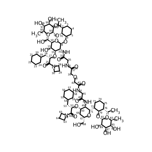 CC[C@H]1CCC[C@@H](O[C@@H]2O[C@H](CO)[C@H](O)[C@H](O[C@@H](CC3CCCCC3)C(=O)N3CCC3)[C@H]2NC(=O)CNC(=O)COCC(=O)NCC(=O)N[C@@H]2[C@@H](O[C@@H](CC3CCCCC3)C(=O)N3CCC3)C[C@@H](CO)O[C@H]2C2CCC[C@H](CC)[C@H]2O[C@@H]2O[C@@H](C)[C@@H](O)[C@@H](O)[C@@H]2O)[C@@H]1O[C@@H]1O[C@@H](C)[C@@H](O)[C@@H](O)[C@@H]1O